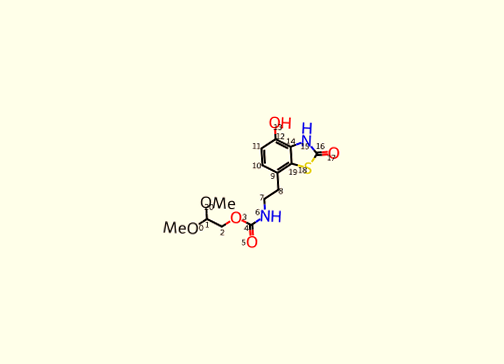 COC(COC(=O)NCCc1ccc(O)c2[nH]c(=O)sc12)OC